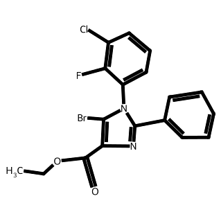 CCOC(=O)c1nc(-c2ccccc2)n(-c2cccc(Cl)c2F)c1Br